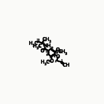 C#CCOc1c(OC)cc(C(=O)NC(C)(C)CC)cc1OC